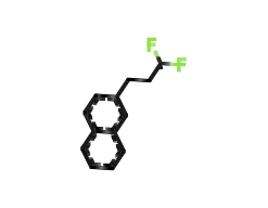 F[C](F)CCc1ccc2ccccc2c1